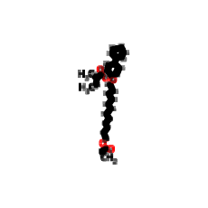 C=CC(=O)OCCCCCCCCCCCCOC1(OC(=O)C(C)CC)C=CC(c2ccccc2)C=C1